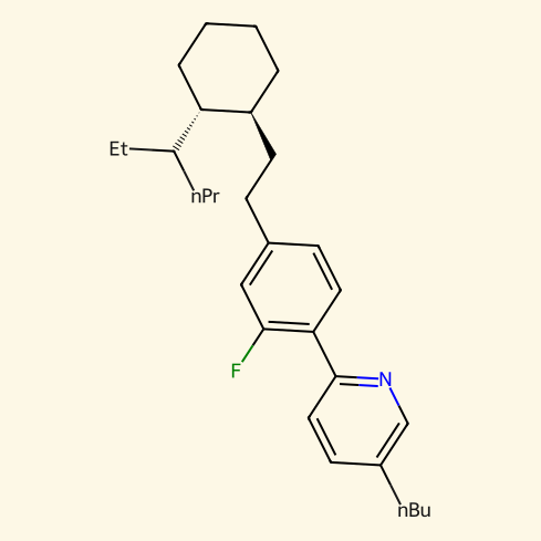 CCCCc1ccc(-c2ccc(CC[C@@H]3CCCC[C@H]3C(CC)CCC)cc2F)nc1